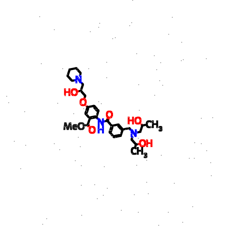 COC(=O)c1cc(OCC(O)CN2CCCCC2)ccc1NC(=O)c1cccc(CN(CC(C)O)CC(C)O)c1